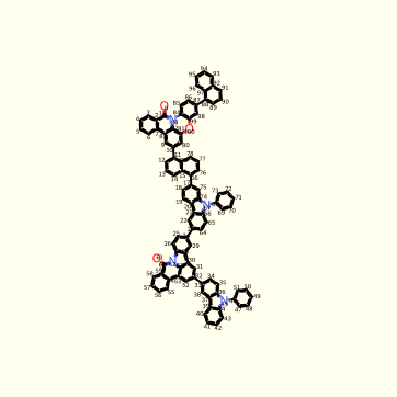 O=c1c2ccccc2c2cc(-c3cccc4c(-c5ccc6c7cc(-c8ccc9c(c8)c8cc(-c%10ccc%11c(c%10)c%10ccccc%10n%11-c%10ccccc%10)cc%10c%11ccccc%11c(=O)n9c%108)ccc7n(-c7ccccc7)c6c5)cccc34)cc3c2n1-c1ccc(-c2cccc4ccccc24)cc1O3